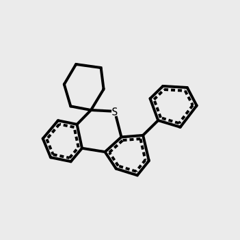 c1ccc(-c2cccc3c2SC2(CCCCC2)c2ccccc2-3)cc1